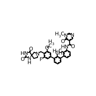 COc1cc(-c2cccc(-c3cccc(NC(=O)c4cncn(C)c4=O)c3C)c2C)cc(F)c1CN1CCC2(C1)NC(=O)NC2=O